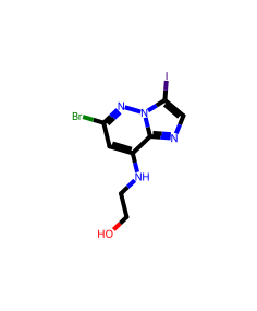 OCCNc1cc(Br)nn2c(I)cnc12